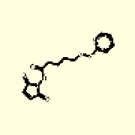 O=C(CCCCSSc1ccccn1)ON1C(=O)C=CC1=O